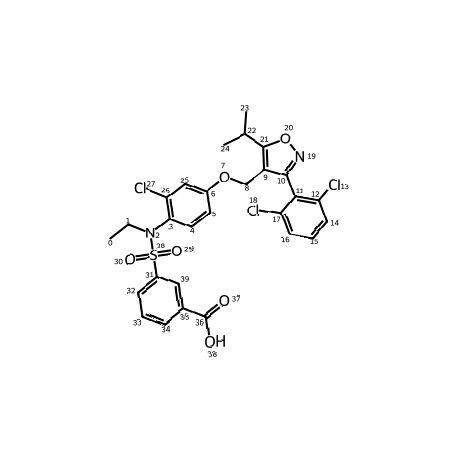 CCN(c1ccc(OCc2c(-c3c(Cl)cccc3Cl)noc2C(C)C)cc1Cl)S(=O)(=O)c1cccc(C(=O)O)c1